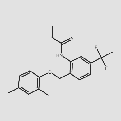 CCC(=S)Nc1cc(C(F)(F)F)ccc1COc1ccc(C)cc1C